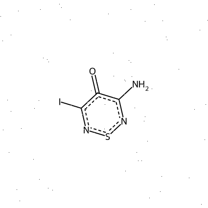 Nc1nsnc(I)c1=O